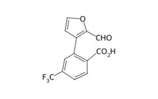 O=Cc1occc1-c1cc(C(F)(F)F)ccc1C(=O)O